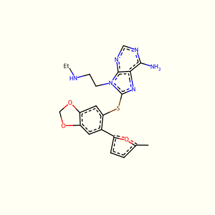 CCNCCn1c(Sc2cc3c(cc2-c2ccc(C)o2)OCO3)nc2c(N)ncnc21